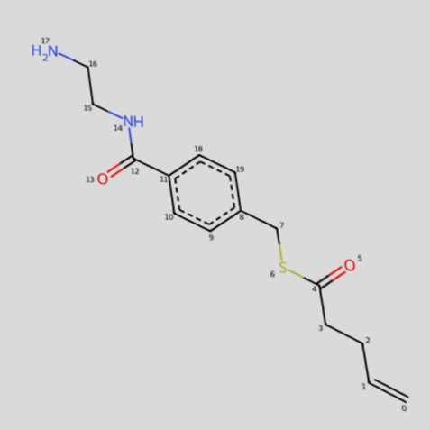 C=CCCC(=O)SCc1ccc(C(=O)NCCN)cc1